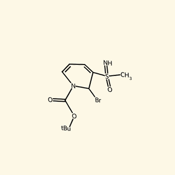 CC(C)(C)OC(=O)N1C=CC=C(S(C)(=N)=O)C1Br